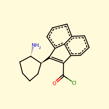 N[C@H]1CCCC[C@@H]1C1=C(C(=O)Cl)c2cccc3cccc1c23